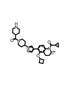 C[C@H]1CCc2c(ccc(-c3cnn(C4CCN(C(=O)C5CCNCC5)CC4)c3)c2OC2CCC2)N1C(=O)C1CC1